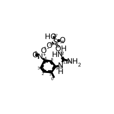 Cc1ccc([N+](=O)[O-])cc1NC(=N)N.O=S(=O)(O)O